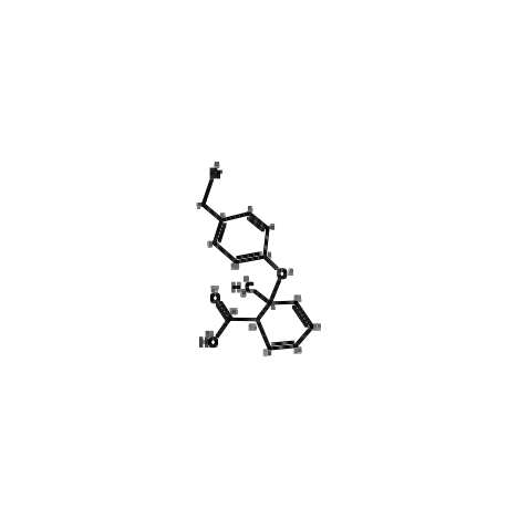 CC1(Oc2ccc(CBr)cc2)C=CC=CC1C(=O)O